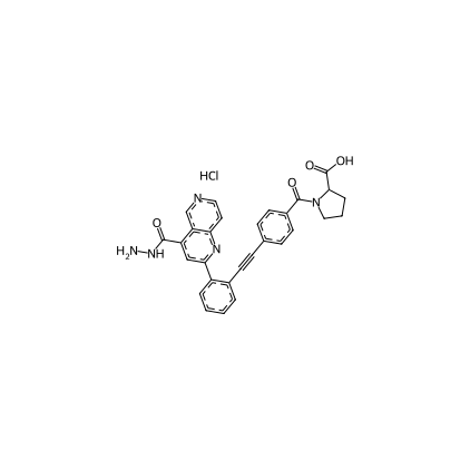 Cl.NNC(=O)c1cc(-c2ccccc2C#Cc2ccc(C(=O)N3CCCC3C(=O)O)cc2)nc2ccncc12